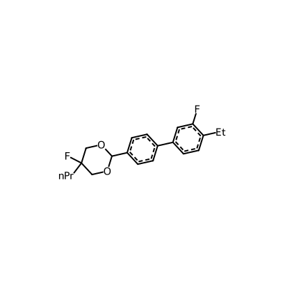 CCCC1(F)COC(c2ccc(-c3ccc(CC)c(F)c3)cc2)OC1